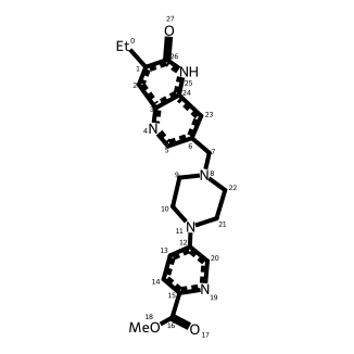 CCc1cc2ncc(CN3CCN(c4ccc(C(=O)OC)nc4)CC3)cc2[nH]c1=O